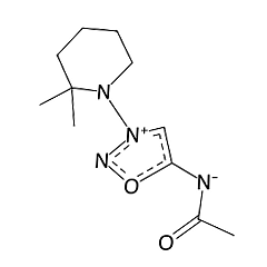 CC(=O)[N-]c1c[n+](N2CCCCC2(C)C)no1